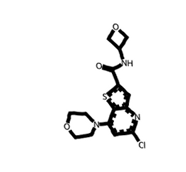 O=C(NC1COC1)c1cc2nc(Cl)cc(N3CCOCC3)c2s1